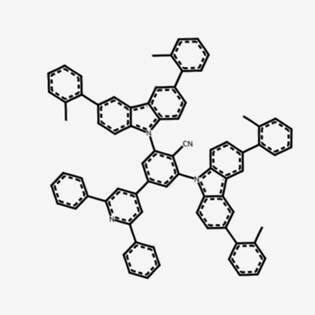 Cc1ccccc1-c1ccc2c(c1)c1cc(-c3ccccc3C)ccc1n2-c1cc(-c2cc(-c3ccccc3)nc(-c3ccccc3)c2)cc(-n2c3ccc(-c4ccccc4C)cc3c3cc(-c4ccccc4C)ccc32)c1C#N